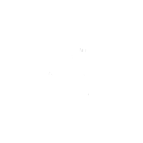 CC(=O)c1cc(Cl)sc1SN